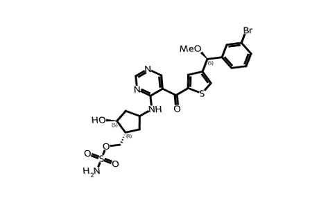 CO[C@@H](c1cccc(Br)c1)c1csc(C(=O)c2cncnc2NC2C[C@H](COS(N)(=O)=O)[C@@H](O)C2)c1